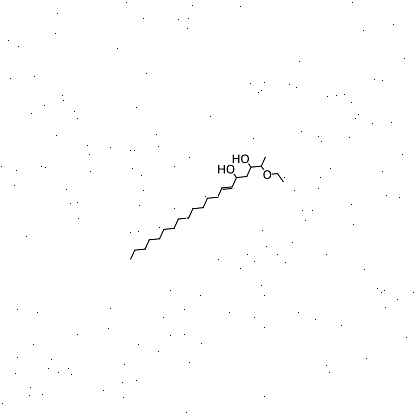 CCCCCCCCCCCCCC=CC(O)CC(O)C(C)OCC